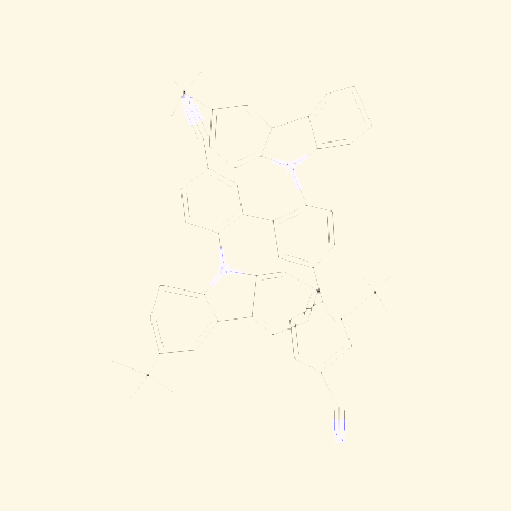 CC(C)(C)c1ccc2c(c1)c1ccccc1n2-c1ccc(C#N)cc1-c1cc(-c2ccc(C#N)cc2C(F)(F)F)ccc1-n1c2ccccc2c2cc(C(C)(C)C)ccc21